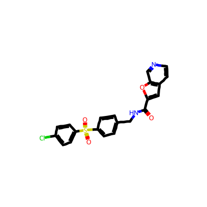 O=C(NCc1ccc(S(=O)(=O)c2ccc(Cl)cc2)cc1)c1cc2ccncc2o1